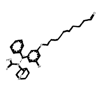 O=CCCCCCCCCOc1cc(Br)cc([C@@H](c2ccccc2)N(C(=O)O)C2CN3CCC2CC3)c1